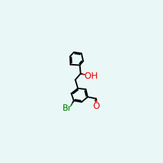 O=Cc1cc(Br)cc(CC(O)c2ccccc2)c1